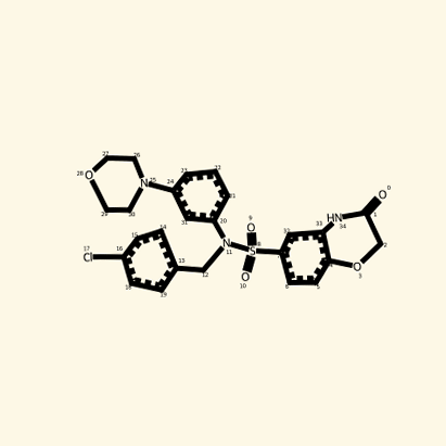 O=C1COc2ccc(S(=O)(=O)N(Cc3ccc(Cl)cc3)c3cccc(N4CCOCC4)c3)cc2N1